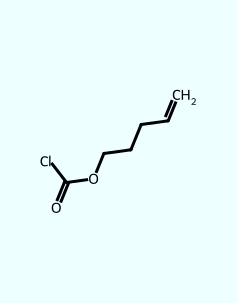 C=CCCCOC(=O)Cl